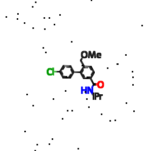 COCc1ccc(C(=O)NC(C)C)cc1-c1ccc(Cl)cc1